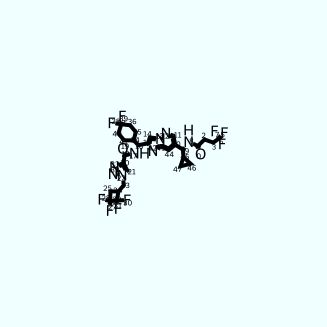 O=C(CCC(F)(F)F)NC(c1cnn2cc([C@@H](NC(=O)c3cn(CC4CC(F)(F)C4(F)F)nn3)C3CCC(F)(F)CC3)nc2c1)C1CC1